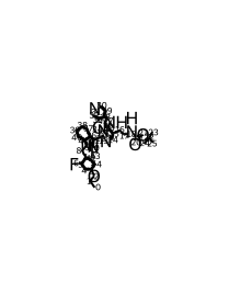 CCOc1cc(F)c(Cn2nc(-c3ncc(CCNC(=O)OC(C)(C)C)c(Nc4ccncc4Cl)n3)c3ccccc32)c(F)c1